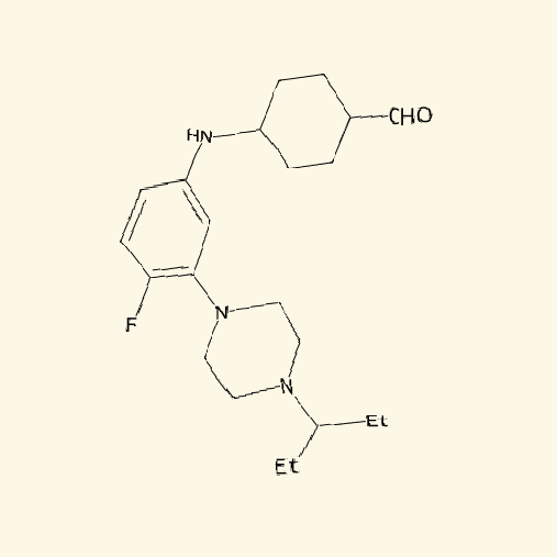 CCC(CC)N1CCN(c2cc(NC3CCC(C=O)CC3)ccc2F)CC1